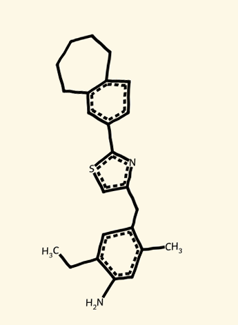 CCc1cc(Cc2csc(-c3ccc4c(c3)CCCCC4)n2)c(C)cc1N